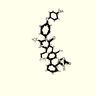 CCCc1nc(C)n(-c2ccc(OC3CCC(O)CC3)cc2)c(=O)c1Cc1ccc(-c2ccccc2-c2noc(=O)[nH]2)cc1F